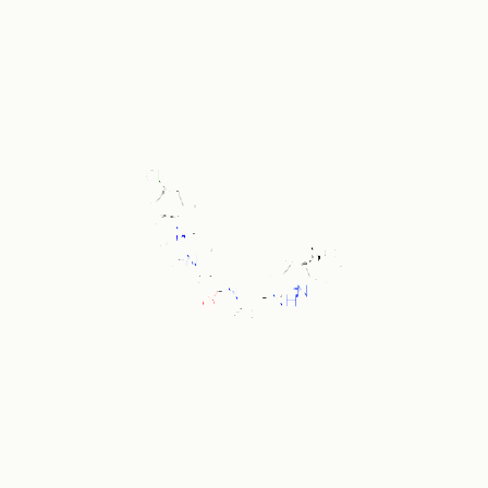 Cc1nc(NC2CCN(C(=O)CCN3CCN(c4ccc(Cl)cc4)CC3)CC2)ccc1[N+](=O)[O-]